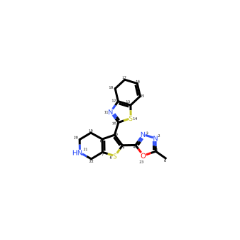 Cc1nnc(-c2sc3c(c2-c2nc4c(s2)C=CCC4)CCNC3)o1